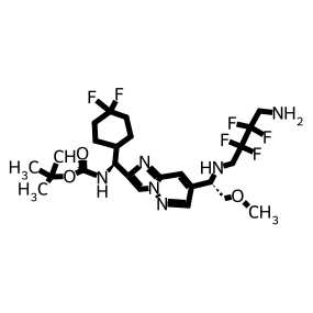 COC[C@@H](NCC(F)(F)C(F)(F)CN)c1cnn2cc([C@@H](NC(=O)OC(C)(C)C)C3CCC(F)(F)CC3)nc2c1